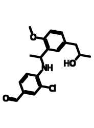 COc1ccc(CC(C)O)cc1C(C)Nc1ccc(C=O)cc1Cl